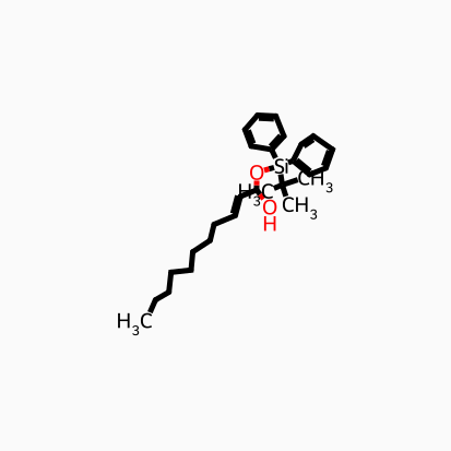 CCCCCCCCC=CC(O)O[Si](c1ccccc1)(c1ccccc1)C(C)(C)C